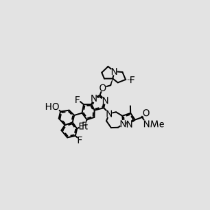 CCc1c(F)ccc2cc(O)cc(-c3c(F)cc4c(N5CCCn6nc(C(=O)NC)c(C)c6C5)nc(OC[C@@]56CCCN5C[C@H](F)C6)nc4c3F)c12